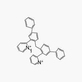 C[n+]1ccccc1-c1cc(-c2ccccc2)ccc1Cc1ccc(-c2ccccc2)cc1-c1cccc[n+]1I